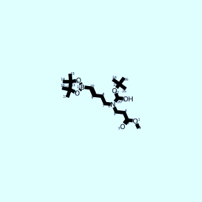 COC(=O)CCN(CC/C=C/B1OC(C)(C)C(C)(C)O1)C(O)OC(C)(C)C